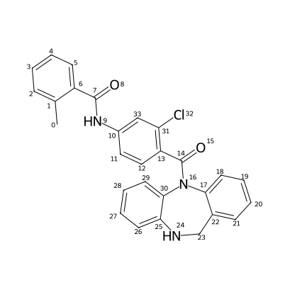 Cc1ccccc1C(=O)Nc1ccc(C(=O)N2c3ccccc3CNc3ccccc32)c(Cl)c1